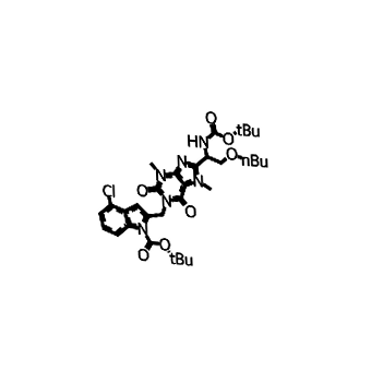 CCCCOCC(NC(=O)OC(C)(C)C)c1nc2c(c(=O)n(Cc3cc4c(Cl)cccc4n3C(=O)OC(C)(C)C)c(=O)n2C)n1C